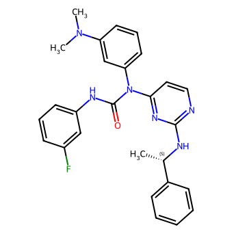 C[C@H](Nc1nccc(N(C(=O)Nc2cccc(F)c2)c2cccc(N(C)C)c2)n1)c1ccccc1